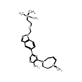 CN1CCCN(c2nc(-c3ccc4c(cnn4COCC[Si](C)(C)C)c3)cnc2N)CC1